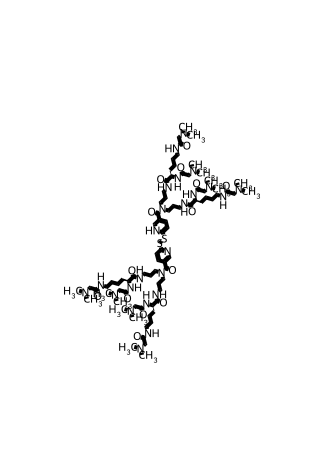 CN(C)CC(=O)NCCCC[C@H](NC(=O)CN(C)C)C(=O)NCCCN(CCCNC(=O)[C@H](CCCCNC(=O)CN(C)C)NC(=O)CN(C)C)C(=O)C1=CC=C(SSc2ccc(C(=O)N(CCCNC(=O)[C@H](CCCCNC(=O)CN(C)C)NC(=O)CN(C)C)CCCNC(=O)[C@H](CCCCNC(=O)CN(C)C)NC(=O)CN(C)C)cn2)NC1